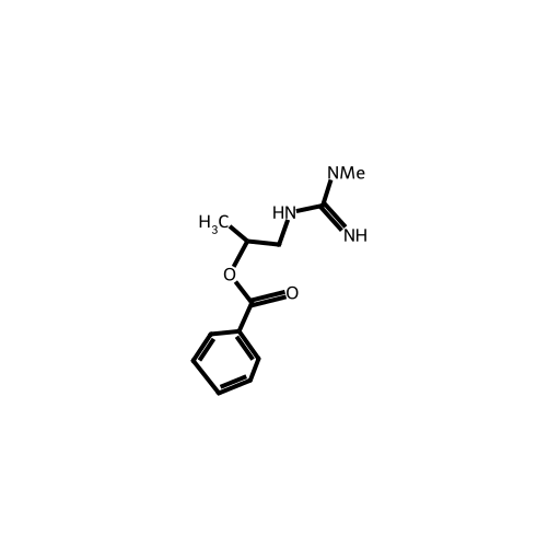 CNC(=N)NCC(C)OC(=O)c1ccccc1